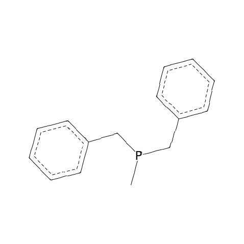 CP(Cc1ccccc1)Cc1ccccc1